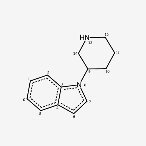 c1ccc2c(c1)ccn2C1CCCNC1